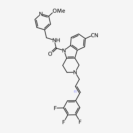 COc1cc(CNC(=O)n2c3c(c4cc(C#N)ccc42)CN(C/C=C/c2cc(F)c(F)c(F)c2)CC3)ccn1